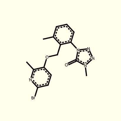 Cc1cccc(-n2nnn(C)c2=O)c1COc1ccc(Br)nc1C